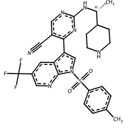 Cc1ccc(S(=O)(=O)n2cc(-c3nc(N[C@H](C)C4CCNCC4)ncc3C#N)c3cc(C(F)(F)F)cnc32)cc1